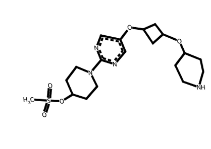 CS(=O)(=O)OC1CCN(c2ncc(OC3CC(OC4CCNCC4)C3)cn2)CC1